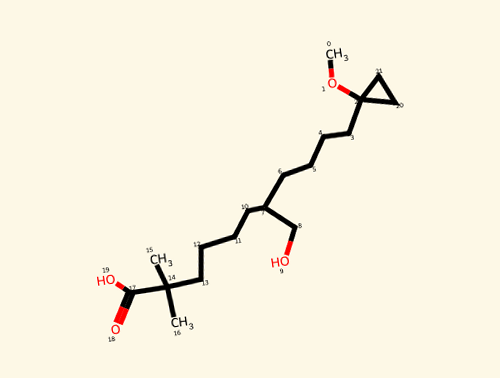 COC1(CCCCC(CO)CCCCC(C)(C)C(=O)O)CC1